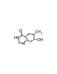 Cc1cc2c(=O)[nH]cnc2cc1O